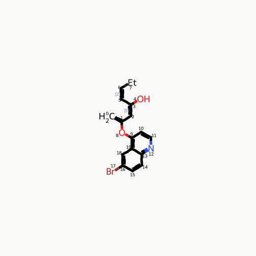 C=C(/C=C(O)\C=C/CC)Oc1ccnc2ccc(Br)cc12